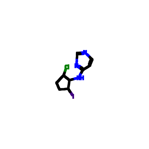 ClC1CCC(I)C1Nc1ccncn1